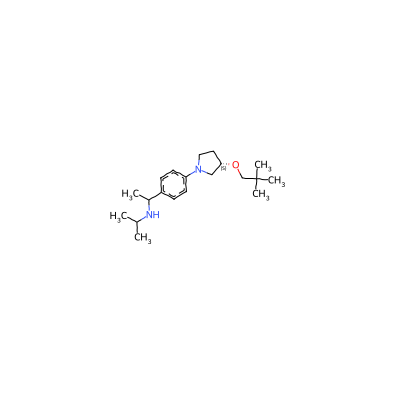 CC(C)NC(C)c1ccc(N2CC[C@H](OCC(C)(C)C)C2)cc1